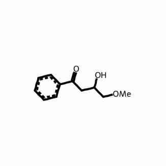 COCC(O)CC(=O)c1ccccc1